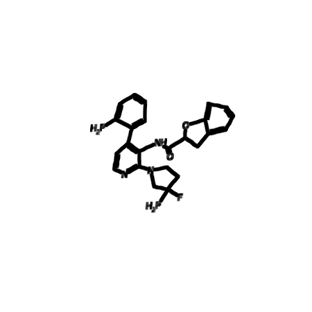 O=C(Nc1c(-c2ccccc2P)ccnc1N1CCC(F)(P)C1)C1Cc2ccccc2O1